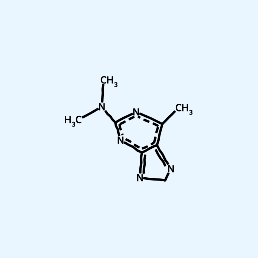 Cc1nc(N(C)C)nc2c1=NCN=2